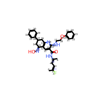 C/C(F)=C\C=C(/C)NC(=O)c1cc2c(nc1NCCOc1ccccc1)CC(c1ccccc1)C/C2=N\O